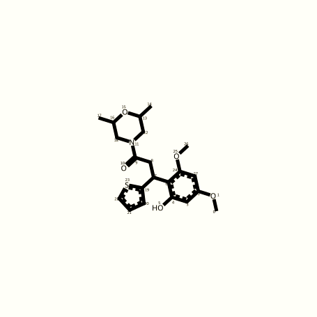 COc1cc(O)c(C(CC(=O)N2CC(C)OC(C)C2)c2cccs2)c(OC)c1